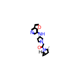 C[C@@H]1CC2C[C@@H]2N1C(=O)CN1CC[C@H](Nc2cncc3ccoc23)C1